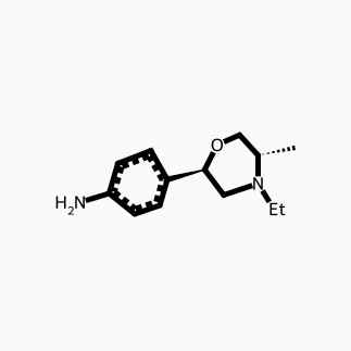 CCN1C[C@@H](c2ccc(N)cc2)OC[C@@H]1C